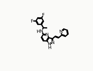 CC(Nc1ccc2[nH]nc(C=Cc3ccccn3)c2n1)c1cc(F)cc(F)c1